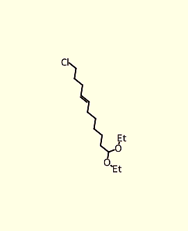 CCOC(CCCCCC=CCCCCl)OCC